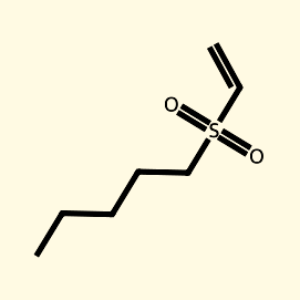 C=CS(=O)(=O)CCCCC